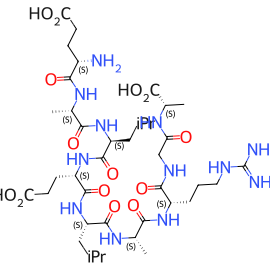 CC(C)C[C@H](NC(=O)[C@H](C)NC(=O)[C@@H](N)CCC(=O)O)C(=O)N[C@@H](CCC(=O)O)C(=O)N[C@@H](CC(C)C)C(=O)N[C@@H](C)C(=O)N[C@@H](CCCNC(=N)N)C(=O)NCC(=O)N[C@@H](C)C(=O)O